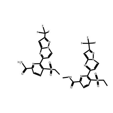 CCS(=O)(=O)c1ccc(C(=O)NC)nc1-c1ccn2nc(C(F)(F)F)cc2n1.CCS(=O)(=O)c1ccc(C(N)=O)nc1-c1ccn2nc(C(F)(F)F)cc2n1